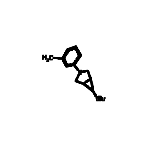 Cc1cccc(N2CC3C(C2)C3C(C)(C)C)c1